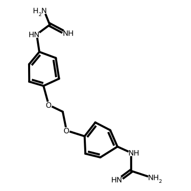 N=C(N)Nc1ccc(OCOc2ccc(NC(=N)N)cc2)cc1